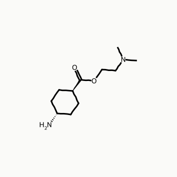 CN(C)CCOC(=O)[C@H]1CC[C@H](N)CC1